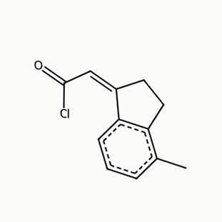 Cc1cccc2c1CC/C2=C/C(=O)Cl